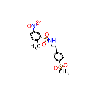 Cc1ccc([N+](=O)[O-])cc1S(=O)(=O)NCCc1ccc(S(C)(=O)=O)cc1